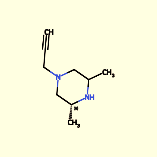 C#CCN1CC(C)N[C@H](C)C1